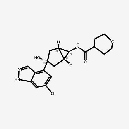 O=C(N[C@H]1[C@@H]2C[C@@](O)(c3cc(Cl)cc4[nH]ncc34)C[C@@H]21)C1CCOCC1